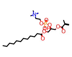 C=C(C)C(=O)OCC(COC(=O)CCCCCCCCCCC)OP(=O)(O)OCC[N+](C)(C)C